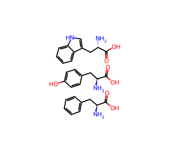 N[C@@H](Cc1c[nH]c2ccccc12)C(=O)O.N[C@@H](Cc1ccc(O)cc1)C(=O)O.N[C@@H](Cc1ccccc1)C(=O)O